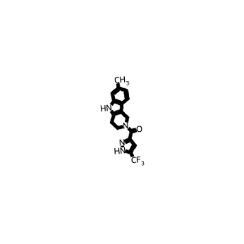 Cc1ccc2c3c([nH]c2c1)CCN(C(=O)c1cc(C(F)(F)F)[nH]n1)C3